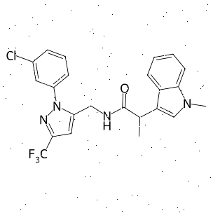 CC(C(=O)NCc1cc(C(F)(F)F)nn1-c1cccc(Cl)c1)c1cn(C)c2ccccc12